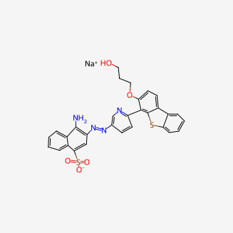 Nc1c(N=Nc2ccc(-c3c(OCCCO)ccc4c3sc3ccccc34)nc2)cc(S(=O)(=O)[O-])c2ccccc12.[Na+]